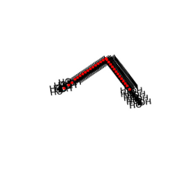 OB(O)O.OB(O)O.OB(O)O.OB(O)O.OB(O)O.OB(O)O.OB(O)O.[LiH].[LiH].[LiH].[LiH].[LiH].[LiH].[LiH].[LiH].[LiH].[LiH].[LiH].[LiH].[LiH].[LiH].[LiH].[LiH].[LiH].[LiH].[LiH].[LiH].[LiH].[LiH].[LiH].[LiH].[LiH].[LiH].[LiH].[LiH].[LiH].[LiH].[LiH].[LiH].[LiH].[LiH].[LiH].[LiH].[LiH].[LiH].[LiH].[LiH].[LiH].[LiH].[LiH].[LiH].[LiH].[LiH].[LiH].[LiH].[LiH].[LiH].[LiH].[LiH]